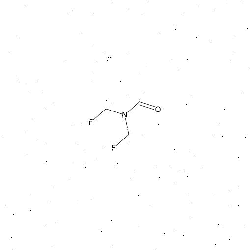 O=[C]N(CF)CF